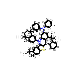 CC(C)(C)c1ccc2sc3c(c2c1)N(c1ccc2c(c1)C(C)(C)CCC2(C)C)c1cc(N(c2ccccc2)c2ccccc2)cc2c1B3c1ccccc1C2(C)C